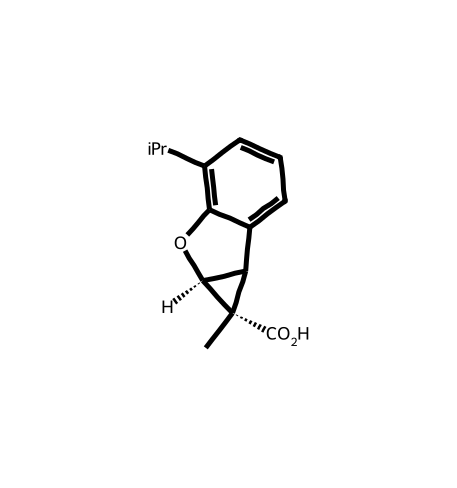 CC(C)c1cccc2c1O[C@H]1C2[C@]1(C)C(=O)O